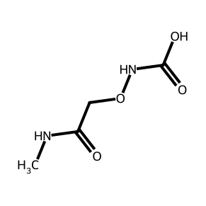 CNC(=O)CONC(=O)O